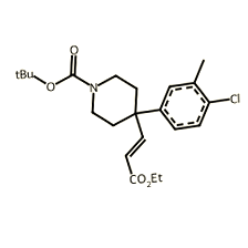 CCOC(=O)C=CC1(c2ccc(Cl)c(C)c2)CCN(C(=O)OC(C)(C)C)CC1